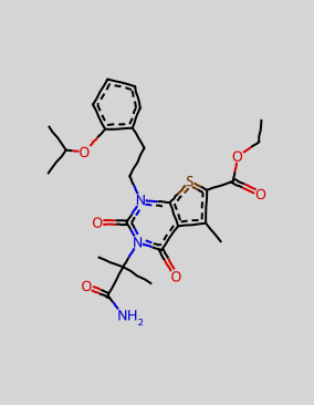 CCOC(=O)c1sc2c(c1C)c(=O)n(C(C)(C)C(N)=O)c(=O)n2CCc1ccccc1OC(C)C